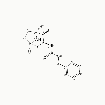 O=C(N[C@H]1C[C@H]2CC[C@H](N2)[C@H]1F)OCc1ccccc1